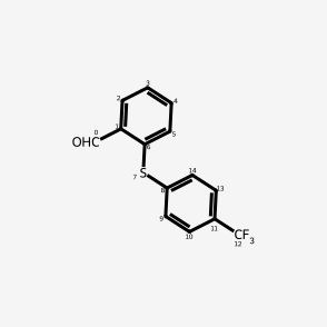 O=Cc1ccccc1Sc1ccc(C(F)(F)F)cc1